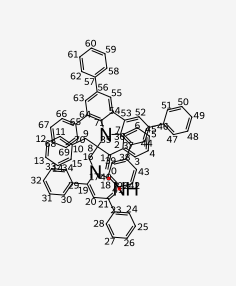 C=C(c1ccccc1)C(Cc1ccccc1)(CN(C)/C(=C\C(=N)c1ccccc1)c1ccccc1)n1c2c(-c3ccccc3)cc(-c3ccccc3)cc2c2cc(-c3ccccc3)cc(-c3ccccc3)c21